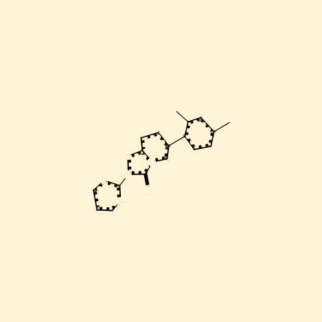 Cc1ccc(-c2ccc3nn(-c4ncccn4)c(=O)n3c2)c(C)c1